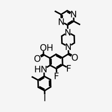 Cc1cnc(C)c(N2CCN(C(=O)c3cc(C(=O)O)c(Nc4ccc(I)cc4C)c(F)c3F)CC2)n1